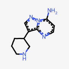 Nc1ccnc2c(C3CCCNC3)cnn12